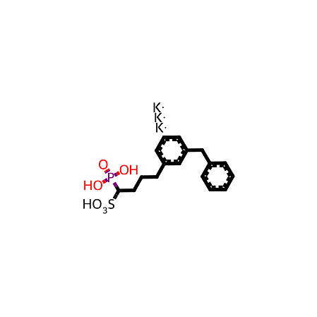 O=P(O)(O)C(CCCc1cccc(Cc2ccccc2)c1)S(=O)(=O)O.[K].[K].[K]